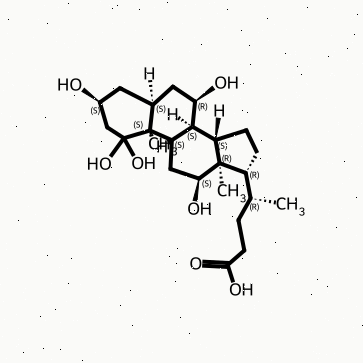 C[C@H](CCC(=O)O)[C@H]1CC[C@H]2[C@@H]3[C@H](O)C[C@@H]4C[C@H](O)CC(O)(O)[C@]4(C)[C@H]3C[C@H](O)[C@]12C